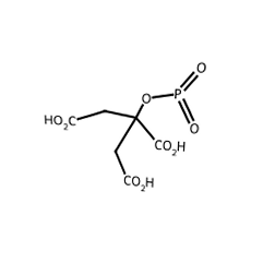 O=C(O)CC(CC(=O)O)(OP(=O)=O)C(=O)O